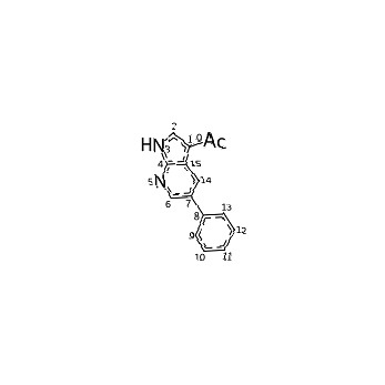 CC(=O)c1c[nH]c2ncc(-c3ccccc3)cc12